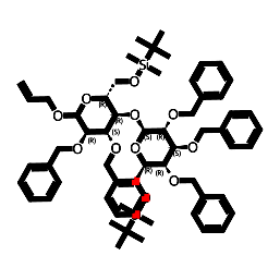 C=CCOC1O[C@H](CO[Si](C)(C)C(C)(C)C)[C@@H](O[C@@H]2O[C@H](CO[Si](C)(C)C(C)(C)C)[C@@H](OCc3ccccc3)[C@H](OCc3ccccc3)[C@H]2OCc2ccccc2)[C@H](OCc2ccccc2)[C@H]1OCc1ccccc1